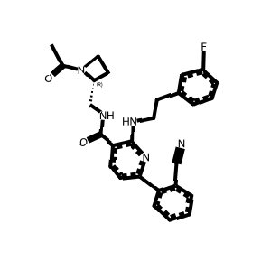 CC(=O)N1CC[C@@H]1CNC(=O)c1ccc(-c2ccccc2C#N)nc1NCCc1cccc(F)c1